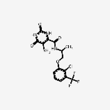 CC(COc1cccc(C(F)(F)F)c1Cl)NC(=O)c1[nH]c(=O)[nH]c(=O)c1N